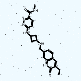 CCc1cc2ccc(CNC3CC(Nc4ccc(C(=O)NC)nn4)C3)cc2[nH]c1=O